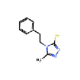 Cc1nnc(S)n1CCc1ccccc1